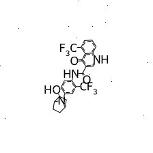 O=C(Nc1ccc(N2C3CCC2C(O)C3)cc1C(F)(F)F)c1c[nH]c2cccc(C(F)(F)F)c2c1=O